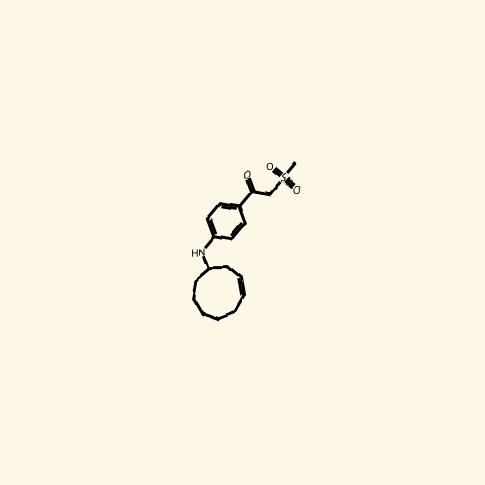 CS(=O)(=O)CC(=O)c1ccc(NC2CC=CCCCCC2)cc1